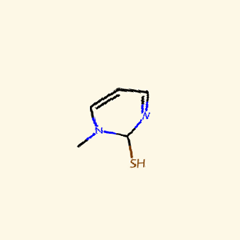 CN1C=CC=NC1S